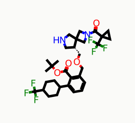 CC(C)(C)OC(=O)c1c(COC[C@@H]2CNCC23CN(C(=O)C2(C(F)(F)F)CC2)C3)cccc1C1CCC(C(F)(F)F)CC1